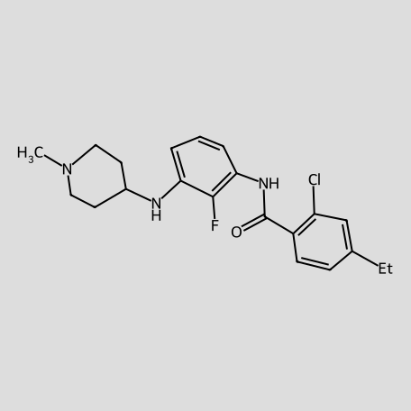 CCc1ccc(C(=O)Nc2cccc(NC3CCN(C)CC3)c2F)c(Cl)c1